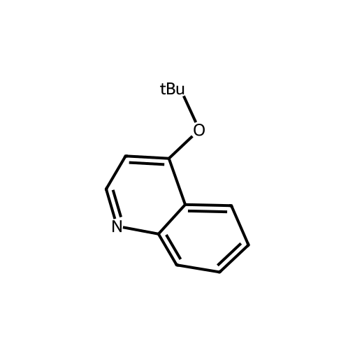 CC(C)(C)Oc1ccnc2ccccc12